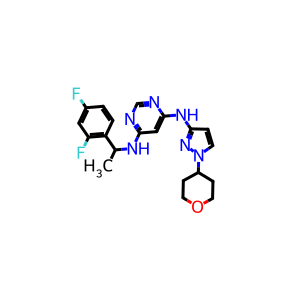 CC(Nc1cc(Nc2ccn(C3CCOCC3)n2)ncn1)c1ccc(F)cc1F